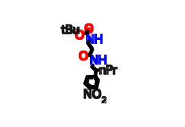 CCCC(CNC(=O)CCNC(=O)OC(C)(C)C)c1ccc([N+](=O)[O-])cc1